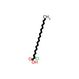 CCCCCCCCCCCCCCCCCCC=C(Cl)C(=O)O